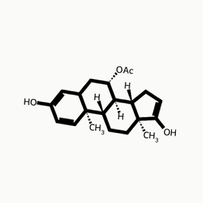 CC(=O)O[C@H]1CC2C=C(O)C=C[C@]2(C)[C@H]2CC[C@]3(C)C(O)=CC[C@H]3[C@H]12